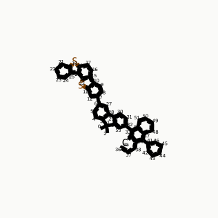 CC1(C)c2ccc(-c3ccc4c(c3)sc3c4ccc4sc5ccccc5c43)cc2-c2ccc(-c3c4ccccc4c(-c4ccccc4)c4ccccc34)cc21